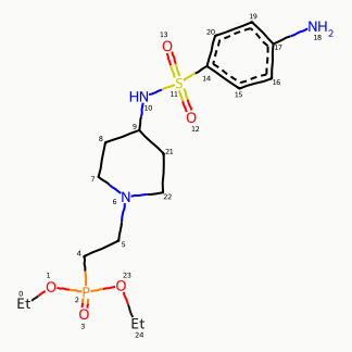 CCOP(=O)(CCN1CCC(NS(=O)(=O)c2ccc(N)cc2)CC1)OCC